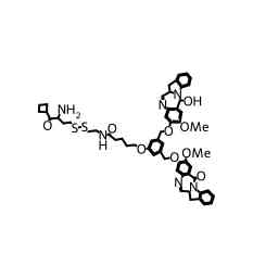 COc1cc2c(cc1OCc1cc(COc3cc4c(cc3OC)C(O)N3c5ccccc5CC3C=N4)cc(OCCCCC(=O)NCCSSCCC(N)C(=O)C3CCC3)c1)N=CC1Cc3ccccc3N1C2=O